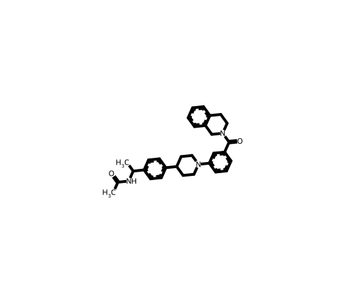 CC(=O)NC(C)c1ccc(C2CCN(c3cccc(C(=O)N4CCc5ccccc5C4)c3)CC2)cc1